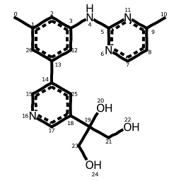 Cc1cc(Nc2nccc(C)n2)cc(-c2cncc(C(O)(CO)CO)c2)c1